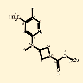 Cc1cnc(N(C)C2CN(C(=O)OC(C)(C)C)C2)cc1C(=O)O